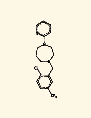 FC(F)(F)c1ccc(Cl)c(CN2CCCN(c3cc[c]cn3)CC2)c1